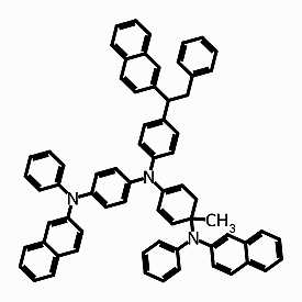 CC1(N(c2ccccc2)c2ccc3ccccc3c2)C=CC(N(c2ccc(C(Cc3ccccc3)c3ccc4ccccc4c3)cc2)c2ccc(N(c3ccccc3)c3ccc4ccccc4c3)cc2)=CC1